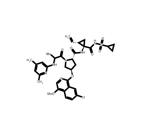 C=C[C@@H]1C[C@]1(NC(=O)[C@@H]1C[C@@H](Oc2ncc(OC)c3ccc(Cl)cc23)CN1C(=O)C(Nc1cc(C)cc(C)n1)C(C)(C)C)C(=O)NS(=O)(=O)C1CC1